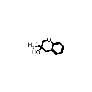 CC1(O)[CH]c2ccccc2OC1